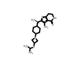 Cc1c([C@H](C)C2CCC(N3CC(OC(C)C)C3)CC2)sc2c1C(=O)NCC2